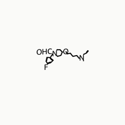 C=CCN(C)CCCCCOC1CCN(C(C=O)c2ccc(F)cc2)CC1